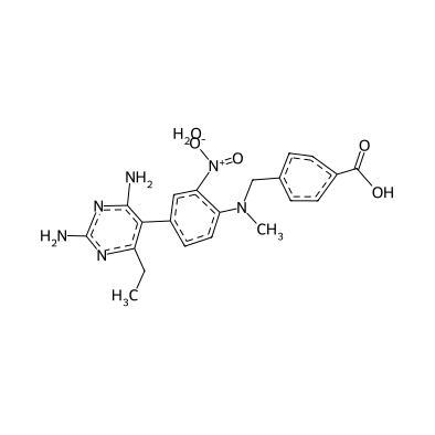 CCc1nc(N)nc(N)c1-c1ccc(N(C)Cc2ccc(C(=O)O)cc2)c([N+](=O)[O-])c1.O